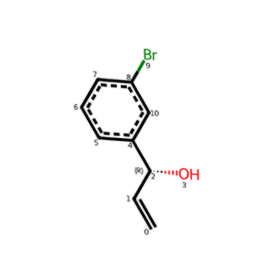 C=C[C@@H](O)c1cccc(Br)c1